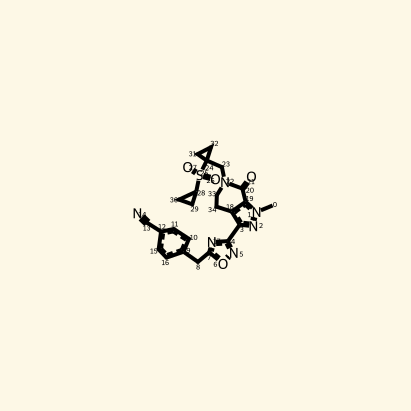 Cn1nc(-c2noc(Cc3ccc(C#N)cc3)n2)c2c1C(=O)N(CC1(S(=O)(=O)C3CC3)CC1)CC2